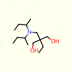 CCC(C)N(CC(CC)(CO)CO)C(C)CC